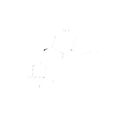 [2H]C1([2H])C[C@@H](C[C@H](NC(=O)OC(C)(C)C)C(N)=O)C(=O)N1